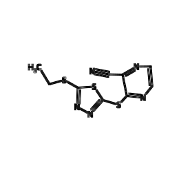 CCSc1nnc(Sc2nccnc2C#N)s1